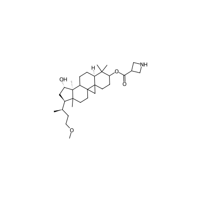 COCC[C@@H](C)[C@H]1C[C@H](O)[C@@]2(C)C3CC[C@H]4C(C)(C)C(OC(=O)C5CNC5)CCC45CC35CCC12C